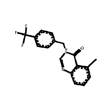 Cc1cccc2c1C(=O)[SH](Cc1ccc(C(F)(F)F)cc1)C=N2